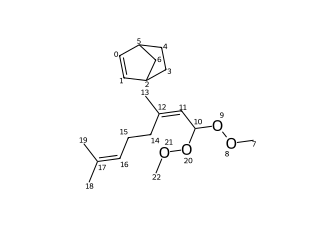 C1=CC2CCC1C2.COOC(C=C(C)CCC=C(C)C)OOC